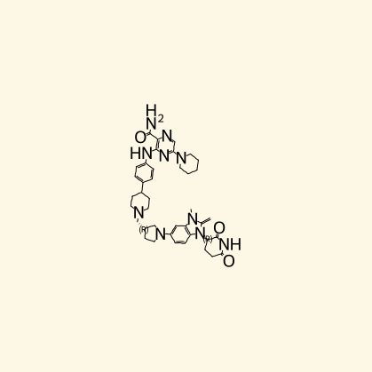 C=C1N(C)c2cc(N3CC[C@H](CN4CCC(c5ccc(Nc6nc(N7CCCCC7)cnc6C(N)=O)cc5)CC4)C3)ccc2N1[C@@H]1CCC(=O)NC1=O